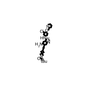 CC(C)(C)OC(=O)N1CC2(CC(C#Cc3cc4ncnc(Nc5ccc(OCc6ccccn6)c(Cl)c5)c4cc3N)C2)C1